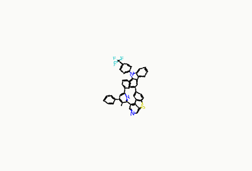 Cc1c(-c2ccccc2)cc(-c2ccccc2)nc1-c1cncc2sc3ccc(-c4ccc5c(c4)c4ccccc4n5-c4ccc(C(F)(F)F)cc4)cc3c12